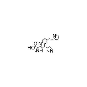 CNC(C(=O)O)c1cc(-c2ccncc2)c2cc(CCc3ccccn3)ccc2n1